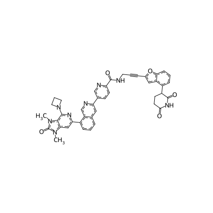 Cn1c(=O)n(C)c2c(N3CCC3)nc(-c3cccc4cc(-c5ccc(C(=O)NCC#Cc6cc7c(C8CCC(=O)NC8=O)cccc7o6)nc5)ncc34)cc21